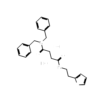 O=C(NCCc1cccs1)[C@H](O)[C@@H](O)C(=O)N(Cc1ccccc1)Cc1ccccc1